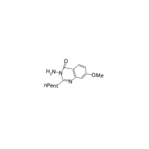 CCCCCc1nc2cc(OC)ccc2c(=O)n1N